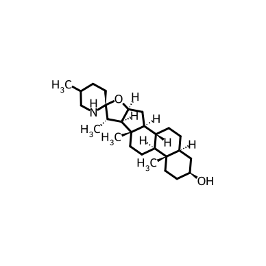 CC1CC[C@@]2(NC1)O[C@H]1C[C@H]3[C@@H]4CC[C@H]5C[C@@H](O)CC[C@]5(C)[C@H]4CC[C@]3(C)[C@H]1[C@@H]2C